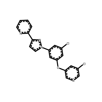 Clc1cncc(Oc2cc(Cl)cc(-n3ccc(-c4ccccn4)n3)c2)c1